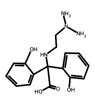 NN(N)CCNC(C(=O)O)(c1ccccc1O)c1ccccc1O